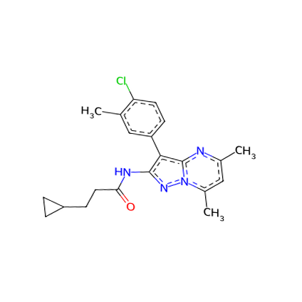 Cc1cc(C)n2nc(NC(=O)CCC3CC3)c(-c3ccc(Cl)c(C)c3)c2n1